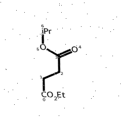 CCOC(=O)CCC(=O)OC(C)C